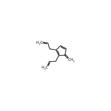 C=CCC1=C(CC=C)C(=C)C=C1